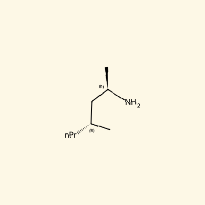 CCC[C@@H](C)C[C@@H](C)N